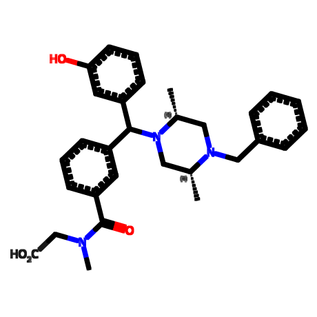 C[C@@H]1CN(C(c2cccc(O)c2)c2cccc(C(=O)N(C)CC(=O)O)c2)[C@H](C)CN1Cc1ccccc1